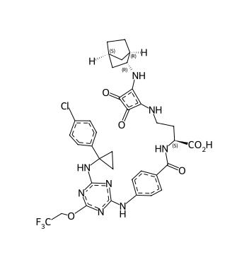 O=C(N[C@@H](CCNc1c(N[C@@H]2C[C@H]3CC[C@@H]2C3)c(=O)c1=O)C(=O)O)c1ccc(Nc2nc(NC3(c4ccc(Cl)cc4)CC3)nc(OCC(F)(F)F)n2)cc1